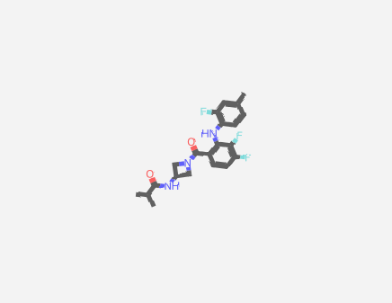 Cc1ccc(Nc2c(C(=O)N3CC(NC(=O)C(C)C)C3)ccc(F)c2F)c(F)c1